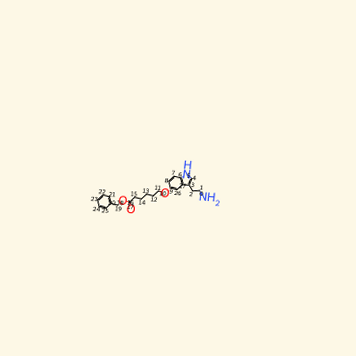 NCCc1c[nH]c2ccc(OCCCCCC(=O)OCc3ccccc3)cc12